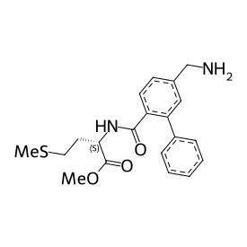 COC(=O)[C@H](CCSC)NC(=O)c1ccc(CN)cc1-c1ccccc1